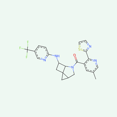 Cc1cnc(-c2nccs2)c(C(=O)N2CC3CC34CC(Nc3ccc(C(F)(F)F)cn3)C24)c1